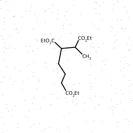 CCOC(=O)CC[CH]C(C(=O)OCC)C(C)C(=O)OCC